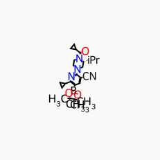 CC(C)[C@@H]1CN(c2nc(C3CC3)c(B3OC(C)(C)C(C)(C)O3)cc2C#N)CCN1C(=O)C1CC1